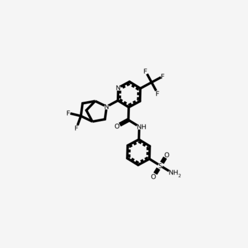 NS(=O)(=O)c1cccc(NC(=O)c2cc(C(F)(F)F)cnc2N2CC3CC2CC3(F)F)c1